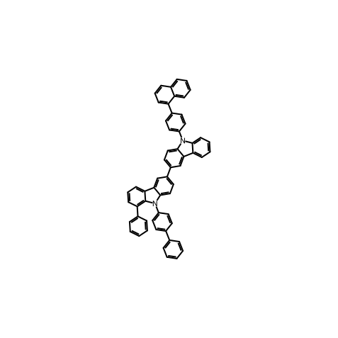 c1ccc(-c2ccc(-n3c4ccc(-c5ccc6c(c5)c5ccccc5n6-c5ccc(-c6cccc7ccccc67)cc5)cc4c4cccc(-c5ccccc5)c43)cc2)cc1